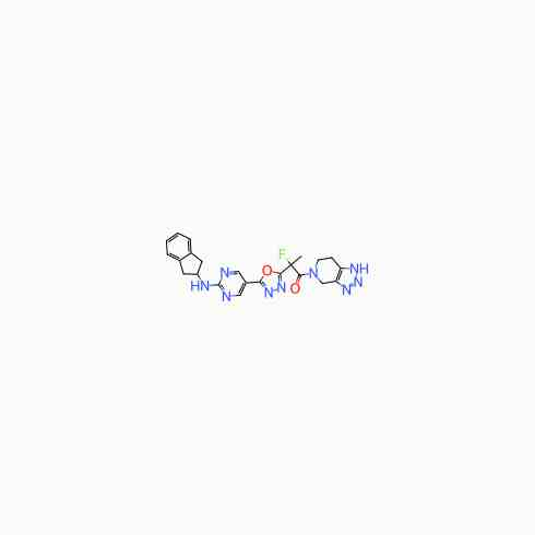 CC(F)(C(=O)N1CCc2[nH]nnc2C1)c1nnc(-c2cnc(NC3Cc4ccccc4C3)nc2)o1